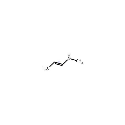 [CH2]/C=C/NC